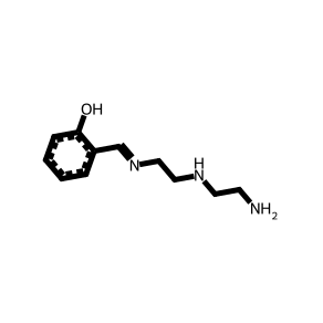 NCCNCCN=Cc1ccccc1O